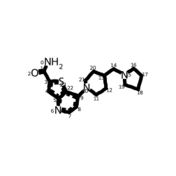 NC(=O)c1cc2nccc(N3CCC(CN4CCCC4)CC3)c2s1